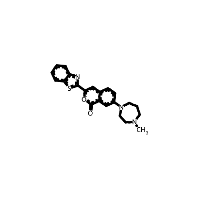 CN1CCCN(c2ccc3cc(-c4nc5ccccc5s4)oc(=O)c3c2)CC1